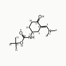 CN(C)C=C1CC(NC(=O)OC(C)(C)C)CCC1=O